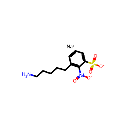 NCCCCCc1cccc(S(=O)(=O)[O-])c1[N+](=O)[O-].[Na+]